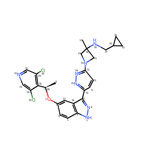 C[C@@H](Oc1ccc2[nH]nc(-c3ccc(N4CC(C)(NCC5CC5)C4)nn3)c2c1)c1c(Cl)cncc1Cl